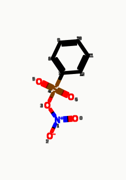 O=[N+]([O-])OS(=O)(=O)c1ccccc1